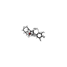 Cc1cc(-n2nc3c(c2N)C2COCC(C3)N2C(=O)OC(C)(C)C)cc(C)c1F